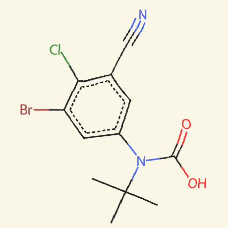 CC(C)(C)N(C(=O)O)c1cc(Br)c(Cl)c(C#N)c1